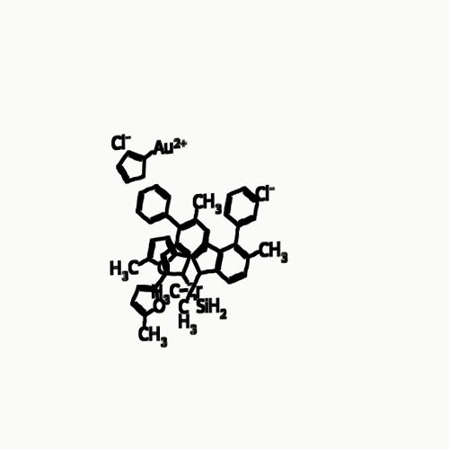 Cc1ccc(C2=Cc3c(ccc(C)c3-c3ccccc3)[CH]2[Zr]([CH3])([CH3])(=[SiH2])[CH]2C(c3ccc(C)o3)=Cc3c2ccc(C)c3-c2ccccc2)o1.[Au+2][C]1=CC=CC1.[Cl-].[Cl-]